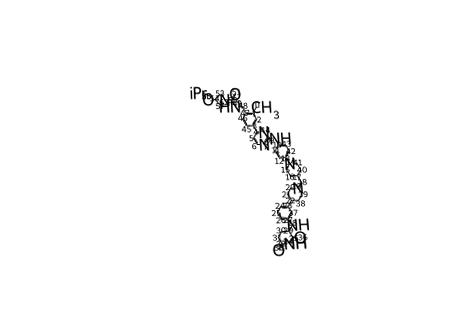 Cc1cc(-c2ccnc(Nc3ccc(N4CCC(CN5CCC(c6cccc(NC7CCC(=O)NC7=O)c6)CC5)CC4)cc3)n2)ccc1CNC(=O)N1CC(OC(C)C)C1